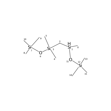 C[SiH](C[Si](C)(C)O[Si](C)(C)C)O[Si](C)(C)C